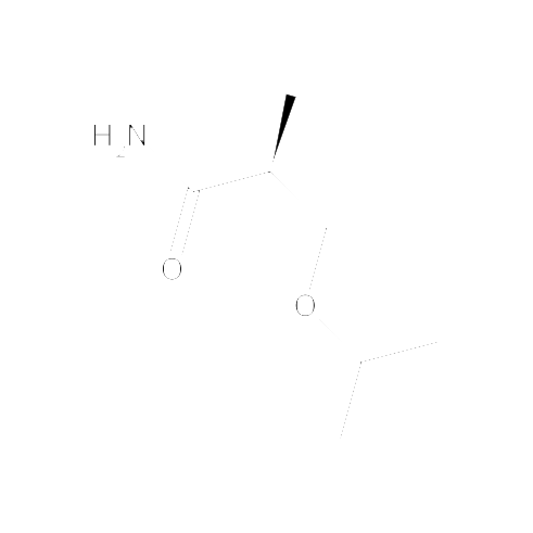 CC(C)OC[C@H](C)C(N)=O